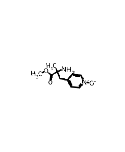 COC(=O)C(C)(N)Cc1cc[n+]([O-])cc1